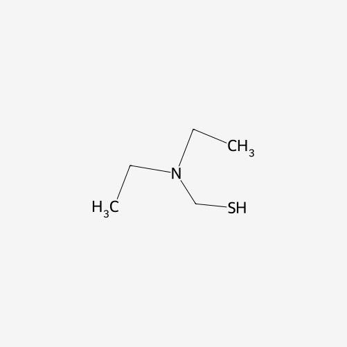 CCN(CC)CS